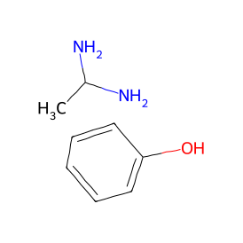 CC(N)N.Oc1ccccc1